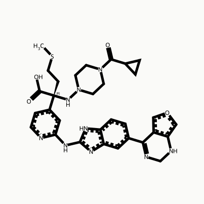 CSCC[C@](NN1CCN(C(=O)C2CC2)CC1)(C(=O)O)c1ccnc(Nc2nc3cc(C4=NCNc5cocc54)ccc3[nH]2)c1